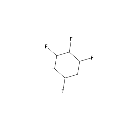 FC1[CH]C(F)C(F)C(F)C1